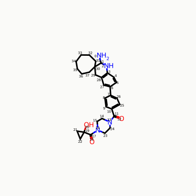 NC1Nc2ccc(-c3ccc(C(=O)N4CCN(C(=O)C5(O)CC5)CC4)cc3)cc2CC12CCCCCCC2